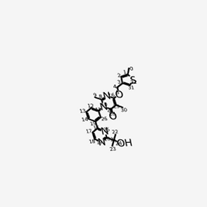 Cc1cc(COc2nc(C)n(-c3cccc(-c4ccnc(C(C)(C)O)n4)c3)c(=O)c2C)cs1